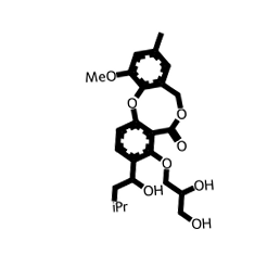 COc1cc(C)cc2c1Oc1ccc(C(O)CC(C)C)c(OCC(O)CO)c1C(=O)OC2